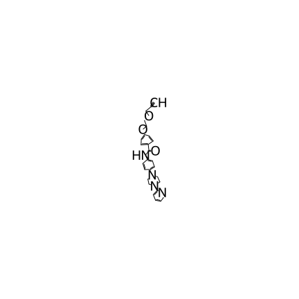 C#CCOCCOc1ccc(C(=O)Nc2ccc(N3CCN(c4ccccn4)CC3)cc2)cc1